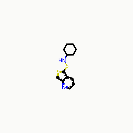 c1cnc2csc(SNC3CCCCC3)c2c1